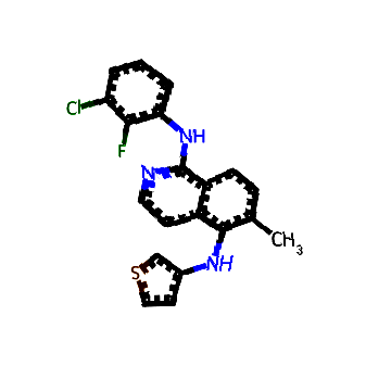 Cc1ccc2c(Nc3cccc(Cl)c3F)nccc2c1Nc1ccsc1